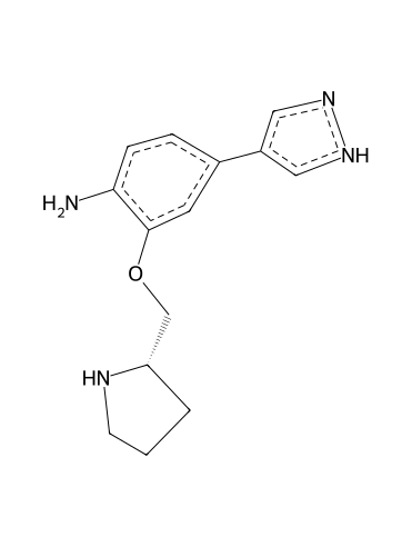 Nc1ccc(-c2cn[nH]c2)cc1OC[C@@H]1CCCN1